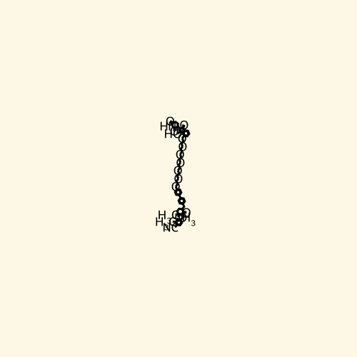 Cc1cc(OC2C(=O)C(Cc3ccc(-c4ccc(OCCOCCOCCOCCOCCOCCOc5cccc6c5C(O)N(C5CCC(=O)NC5=O)C6=O)cc4)cc3)CCC2(C)C)ccc1C#N